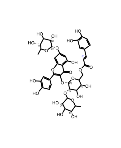 CC1OC(O[C@H]2C(O)[C@H](O)C(COC(=O)/C=C/c3ccc(O)c(O)c3)O[C@H]2Oc2c(-c3ccc(O)c(O)c3)oc3cc(O[C@@H]4OC(C)[C@H](O)C(O)[C@@H]4O)cc(O)c3c2=O)[C@@H](O)C(O)[C@H]1O